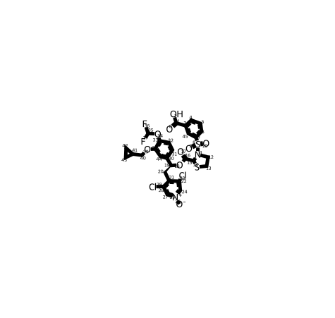 O=C(O)c1cccc(S(=O)(=O)N2CCSC2C(=O)O[C@@H](Cc2c(Cl)c[n+]([O-])cc2Cl)c2ccc(OC(F)F)c(OCC3CC3)c2)c1